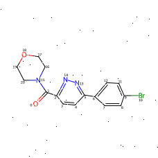 O=C(c1ccc(-c2ccc(Br)cc2)nn1)N1CCOCC1